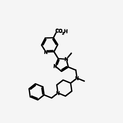 CN(Cc1cnc(-c2cc(C(=O)O)ccn2)n1C)C1CCN(Cc2ccccc2)CC1